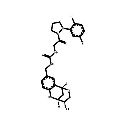 O=C(NCC(=O)N1CCCN1c1cc(F)ccc1Cl)NCc1ccc2c(c1)[C@H]1C[C@@H](N2)[C@H](O)CO1